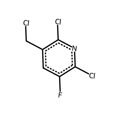 Fc1cc(CCl)c(Cl)nc1Cl